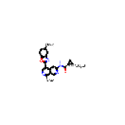 CCOC(=O)[C@H]1C[C@@H]1C(=O)Nc1cc2c(-c3nc4cc(OC)ccc4o3)cnc(NC)c2cn1